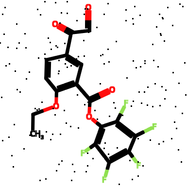 CCOc1ccc(C(=O)C=O)cc1C(=O)Oc1c(F)c(F)c(F)c(F)c1F